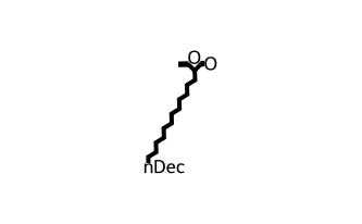 C=C1OC(=O)C1CCCCCCCCCCCCCCCCCCCCCC